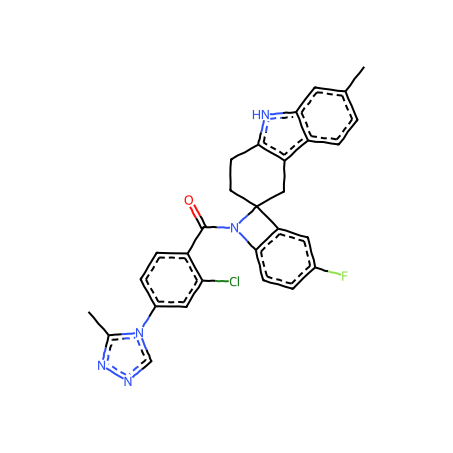 Cc1ccc2c3c([nH]c2c1)CCC1(C3)c2cc(F)ccc2N1C(=O)c1ccc(-n2cnnc2C)cc1Cl